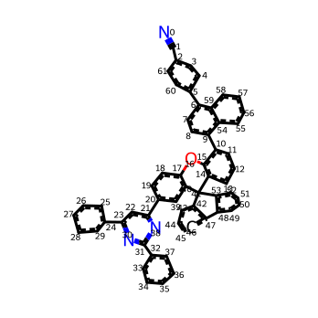 N#Cc1ccc(-c2ccc(-c3cccc4c3Oc3ccc(-c5cc(-c6ccccc6)nc(-c6ccccc6)n5)cc3C43c4ccccc4-c4ccccc43)c3ccccc23)cc1